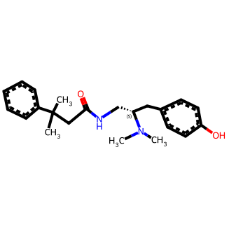 CN(C)[C@H](CNC(=O)CC(C)(C)c1ccccc1)Cc1ccc(O)cc1